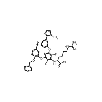 Cn1ccnc1-c1cccc(Oc2nc(Oc3cc(C#N)ccc3OCc3ccccc3)c(F)c(NC(CCCCNC(=N)N)C(=O)O)c2F)c1